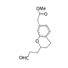 COC(=O)Cc1ccc2c(c1)OC(CCC=O)CC2